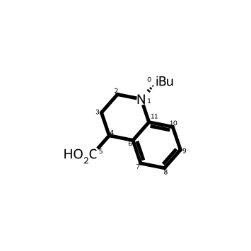 CC[C@@H](C)N1CCC(C(=O)O)c2ccccc21